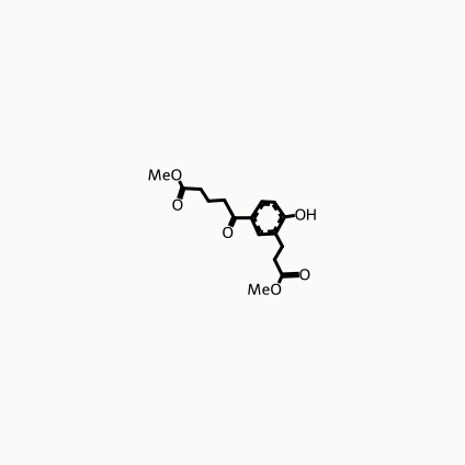 COC(=O)CCCC(=O)c1ccc(O)c(CCC(=O)OC)c1